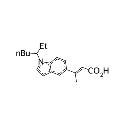 CCCCC(CC)n1ccc2cc(C(C)=CC(=O)O)ccc21